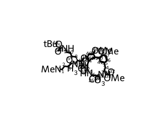 CNCCCC(=O)N[C@@H](CCCCNC(=O)OC(C)(C)C)C(=O)N(C)[C@@H]1C(=O)N[C@@H](C)C(=O)N[C@H](C(=O)OC)Cc2ccc(OC)c(c2)-c2cc1ccc2OC